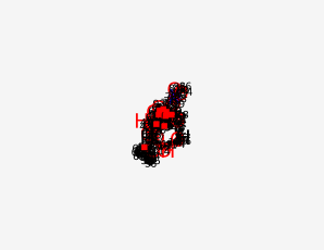 C=C1C(C)CC2CC[C@@H]3OC(/C=C/C(=O)CC4OC5C(CC(C)(C)[Si](O)(c6ccccc6)c6ccccc6)[C@H]6OC(CCC6O[C@H]5C4CC(C)(C)[Si](O)(c4ccccc4)c4ccccc4)CC(=O)CC4[C@H](CC1O2)O[C@H](CC1CN(C(=O)OC(C)(C)C)C(C)(C)O1)[C@@H]4OC)CC3=C